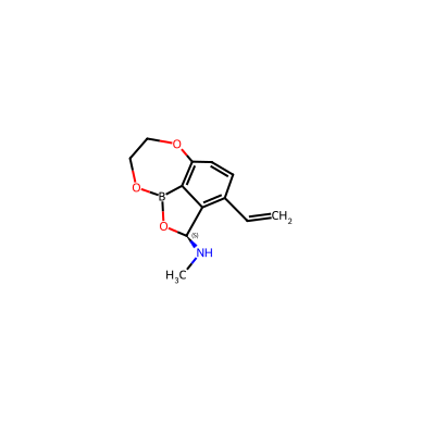 C=Cc1ccc2c3c1[C@@H](NC)OB3OCCO2